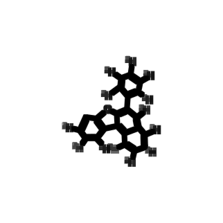 [2H]c1cc2oc3c(-c4c([2H])c([2H])c([2H])c([2H])c4[2H])c([2H])c4c([2H])c([2H])c([2H])c([2H])c4c3c2c([2H])c1[2H]